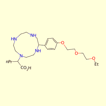 CCCC(C(=O)O)N1CCNCCNCC(c2ccc(OCCOCCOCC)cc2)NCC1